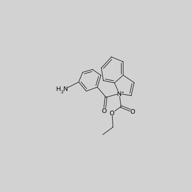 CCOC(=O)[N+]1(C(=O)c2cccc(N)c2)C=Cc2ccccc21